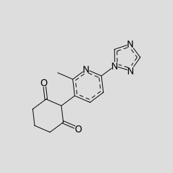 Cc1nc(-n2cncn2)ccc1C1C(=O)CCCC1=O